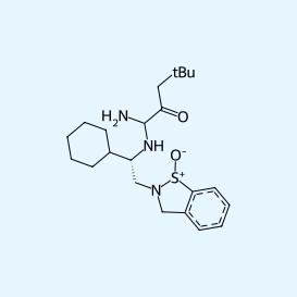 CC(C)(C)CC(=O)C(N)N[C@H](CN1Cc2ccccc2[S+]1[O-])C1CCCCC1